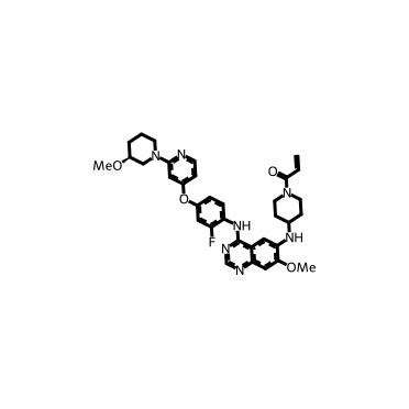 C=CC(=O)N1CCC(Nc2cc3c(Nc4ccc(Oc5ccnc(N6CCC[C@H](OC)C6)c5)cc4F)ncnc3cc2OC)CC1